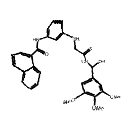 COc1cc(C(O)NC(=S)CNc2cccc(NC(=O)c3cccc4ccccc34)c2)cc(OC)c1OC